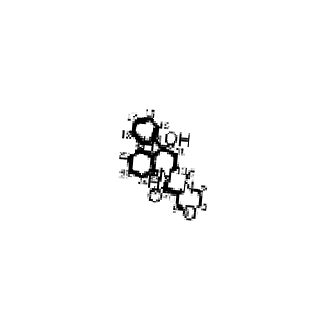 CN1CCOCC1C(=O)N1CCC(O)(c2ccccc2)[C@H]2CCCC[C@H]21